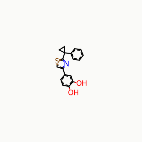 Oc1ccc(-c2csc(C3(c4ccccc4)CC3)n2)cc1O